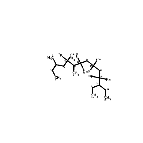 CCC(C)CC(C)(F)C(C)C(F)(F)CC(F)(F)CC(F)(F)C(CC)CC